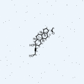 CC(=O)[C@H]1CC[C@H]2[C@@H]3CC[C@@H]4C[C@@](O)(C#CCO)CC[C@]4(C)[C@H]3CC[C@]12C